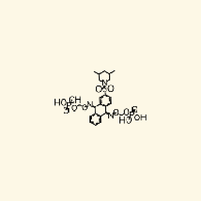 CC1CC(C)CN(S(=O)(=O)c2ccc3c(c2)/C(=N/OCOP(=O)(O)O)c2ccccc2/C3=N/OCOP(=O)(O)O)C1